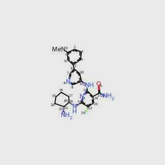 CNc1cccc(-c2cncc(Nc3nc(N[C@@H]4CCCC[C@@H]4N)c(F)cc3C(N)=O)c2)c1